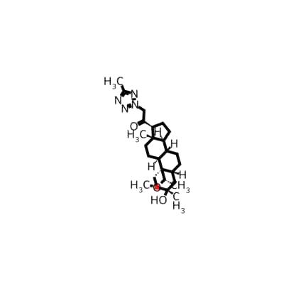 CO[C@@H](C)[C@]12CC[C@@](C)(O)C[C@H]1CC[C@H]1[C@@H]3CC[C@H](C(=O)Cn4nnc(C)n4)[C@@]3(C)CC[C@@H]12